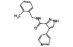 Cc1ccccc1CNC(=O)c1n[nH]cc1-c1ccncc1